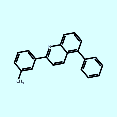 Cc1cccc(-c2ccc3c(-c4ccccc4)cccc3n2)c1